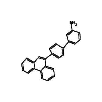 Nc1cccc(-c2ccc(-c3cc4ccccc4c4ccccc34)cc2)c1